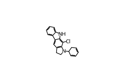 Clc1c2c(cc3c1[nH]c1ccccc13)CCN2C1C=CC=CC1